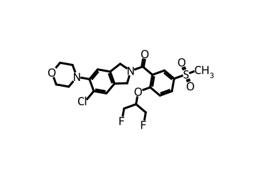 CS(=O)(=O)c1ccc(OC(CF)CF)c(C(=O)N2Cc3cc(Cl)c(N4CCOCC4)cc3C2)c1